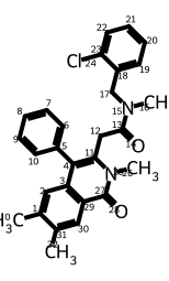 Cc1cc2c(-c3ccccc3)c(CC(=O)N(C)Cc3ccccc3Cl)n(C)c(=O)c2cc1C